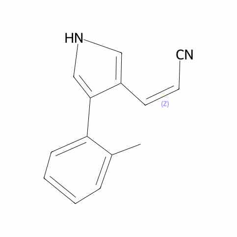 Cc1ccccc1-c1c[nH]cc1/C=C\C#N